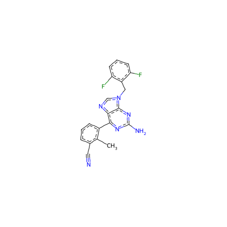 Cc1c(C#N)cccc1-c1nc(N)nc2c1ncn2Cc1c(F)cccc1F